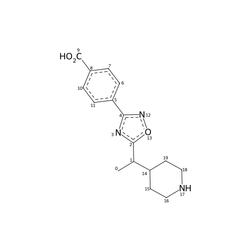 CC(c1nc(-c2ccc(C(=O)O)cc2)no1)C1CCNCC1